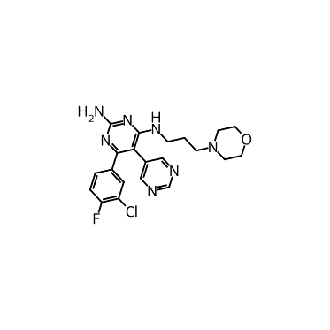 Nc1nc(NCCCN2CCOCC2)c(-c2cncnc2)c(-c2ccc(F)c(Cl)c2)n1